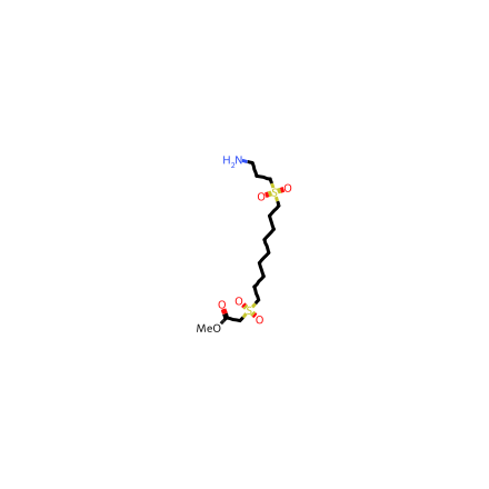 COC(=O)CS(=O)(=O)CCCCCCCCCS(=O)(=O)CCCN